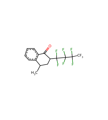 CC1CC(C(F)(F)C(F)(F)C(F)(F)C(F)(F)F)C(=O)c2ccccc21